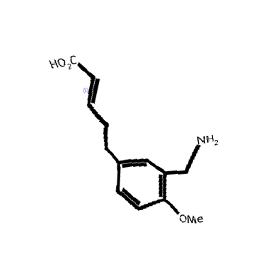 COc1ccc(CC/C=C/C(=O)O)cc1CN